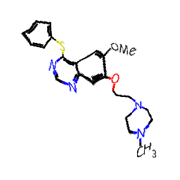 COc1cc2c(Sc3ccccc3)ncnc2cc1OCCN1CCN(C)CC1